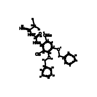 COc1cc(OCc2ccccc2)c(OCc2ccccc2)c(Cl)c1NC(=O)NC(=N)N(C)C